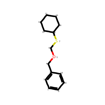 c1ccc(COCSC2CCCCC2)cc1